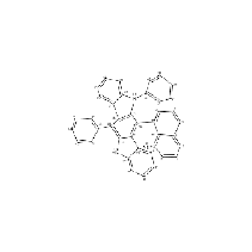 N#Cc1cccc2cccc(-c3c4c([nH]c5ccccc54)c(-c4ccccc4)c4c5ccccc5n(-c5ccccc5)c34)c12